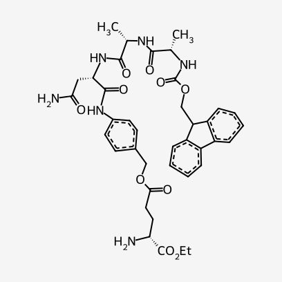 CCOC(=O)[C@H](N)CCC(=O)OCc1ccc(NC(=O)[C@H](CC(N)=O)NC(=O)[C@H](C)NC(=O)[C@H](C)NC(=O)OCC2c3ccccc3-c3ccccc32)cc1